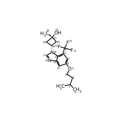 CC(C)CCOc1cc(C(F)(F)F)c2c(c1)ncn2[C@H]1C[C@@](C)(O)C1